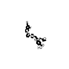 N#Cc1cc(F)c2c(c1)CCN(c1cccc(N3CCN(Cc4nc5ccc(C(=O)O)cc5n4C[C@@H]4CCO4)CC3)n1)C2